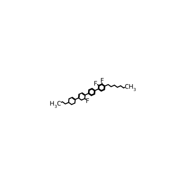 CCCCCCCc1ccc(-c2ccc(C3=CC=C(C4=CCC(CCC)CC4)CC3F)cc2)c(F)c1F